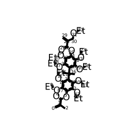 C=C(C)C(=O)Oc1c(OCC)c(OCC)c(C(C)(C)c2c(OCC)c(OCC)c(OC(=O)C(=C)COCC)c(OCC)c2OCC)c(OCC)c1OCC